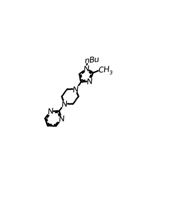 CCCCn1cc(N2CCN(c3ncccn3)CC2)nc1C